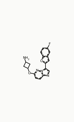 NC1CC(Oc2ccc3ncc(-c4cc5cc(F)ccc5o4)n3n2)C1